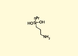 CCC[Si](O)(O)CCCN